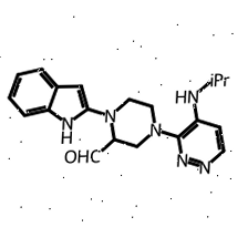 CC(C)Nc1ccnnc1N1CCN(c2cc3ccccc3[nH]2)C(C=O)C1